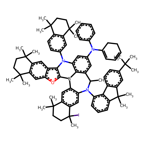 CC1c2cc(N(C3=CC=CCC3)c3ccccc3)cc3c2B(c2cc4c(cc2N1c1cccc2c1-c1ccc(C(C)(C)C)cc1C2(C)C)C(C)(I)CCC4(C)C)c1oc2cc4c(cc2c1N3c1ccc2c(c1)C(C)(C)CCC2(C)C)C(C)(C)CCC4(C)C